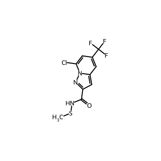 CSNC(=O)c1cc2cc(C(F)(F)F)cc(Cl)n2n1